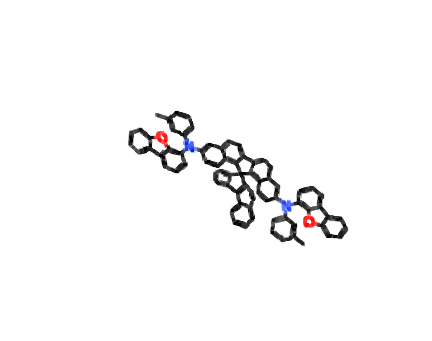 Cc1cccc(N(c2ccc3c4c(ccc3c2)-c2ccc3cc(N(c5cccc(C)c5)c5cccc6c5oc5ccccc56)ccc3c2C42c3ccccc3-c3c2ccc2ccccc32)c2cccc3c2oc2ccccc23)c1